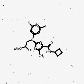 COC(C)CN(c1cc(F)nc(F)c1)c1nc(C(=O)NC2CCC2)c(C)s1